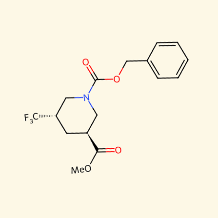 COC(=O)[C@H]1C[C@H](C(F)(F)F)CN(C(=O)OCc2ccccc2)C1